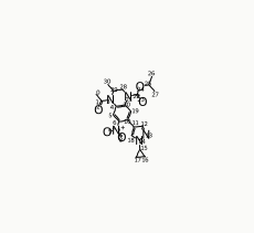 CC(=O)N1c2cc([N+](=O)[O-])c(-c3cnn(C4CC4)c3)cc2N(C(=O)OC(C)C)CC1C